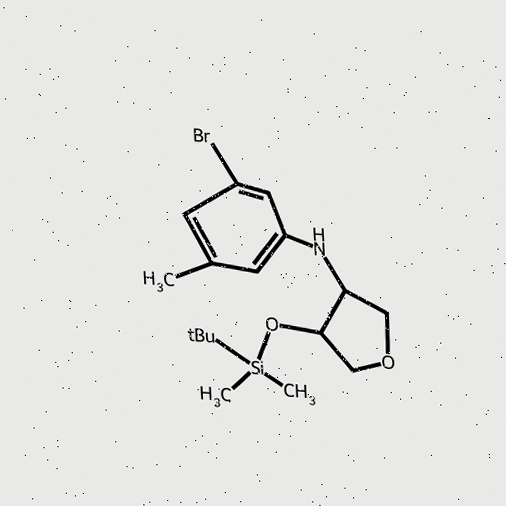 Cc1cc(Br)cc(NC2COCC2O[Si](C)(C)C(C)(C)C)c1